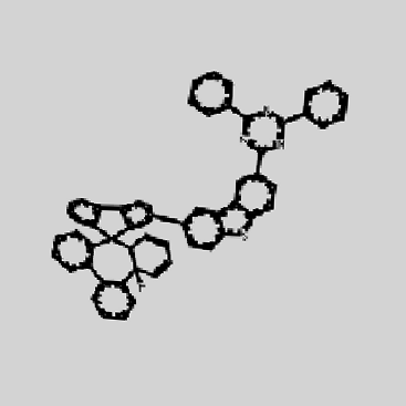 FC12C=CC=CC1C1(c3ccccc3-c3ccccc32)c2ccccc2-c2ccc(-c3ccc4sc5ccc(-c6nc(-c7ccccc7)nc(-c7ccccc7)n6)cc5c4c3)cc21